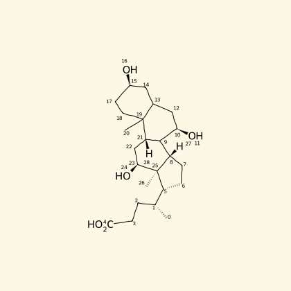 C[C@H](CCC(=O)O)[C@H]1CC[C@H]2C3[C@H](O)CC4C[C@H](O)CCC4(C)[C@H]3C[C@H](O)[C@]12C